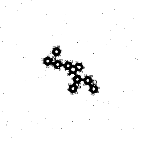 CC1c2cc(-c3ccc4c5ccccc5n(-c5ccccc5)c4c3)ccc2C2=C(CCC=C2)C1c1cc(-c2ccc3oc4ccccc4c3c2)c2sc3ccccc3c2c1